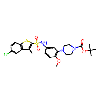 COc1ccc(NS(=O)(=O)c2sc3ccc(Cl)cc3c2C)cc1N1CCN(C(=O)OC(C)(C)C)CC1